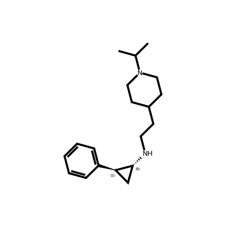 CC(C)N1CCC(CCN[C@@H]2C[C@H]2c2ccccc2)CC1